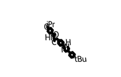 CC(C)Oc1ccc(C(=O)NC(Cc2ccc(-c3ncc(-c4ccc(C(C)(C)C)cc4)cn3)cc2)C(=O)O)cc1